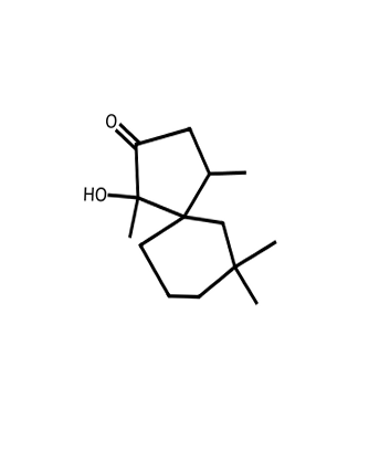 CC1CC(=O)C(C)(O)C12CCCC(C)(C)C2